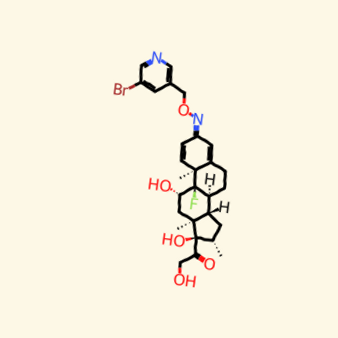 C[C@H]1C[C@H]2[C@@H]3CCC4=C/C(=N/OCc5cncc(Br)c5)C=C[C@]4(C)[C@@]3(F)[C@@H](O)C[C@]2(C)[C@@]1(O)C(=O)CO